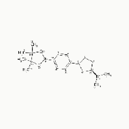 CN(C)[C@@H]1CCN(c2ccc(B3OC(C)(C)C(C)(C)O3)cn2)C1